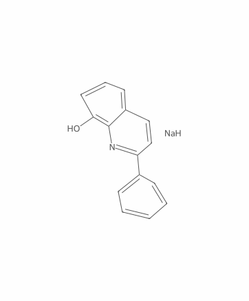 Oc1cccc2ccc(-c3ccccc3)nc12.[NaH]